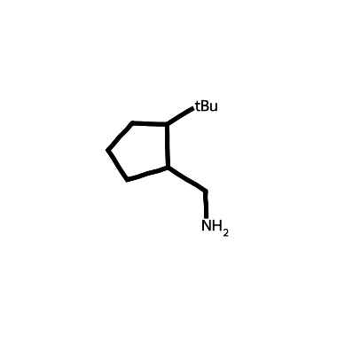 CC(C)(C)C1CCCC1CN